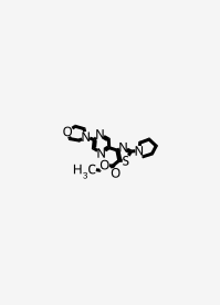 CCOC(=O)c1sc(N2CCCCC2)nc1-c1cnc(N2CCOCC2)cn1